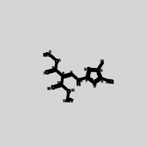 CCCOC(=O)C(=CNc1nc(CC)c(C)s1)C(=O)OCCC